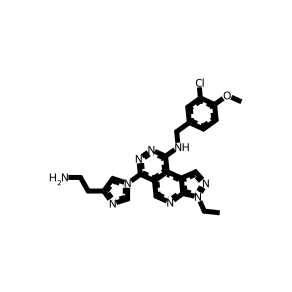 CCn1ncc2c3c(NCc4ccc(OC)c(Cl)c4)nnc(-n4cnc(CCN)c4)c3cnc21